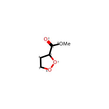 COC(=O)[C]1CCOO1